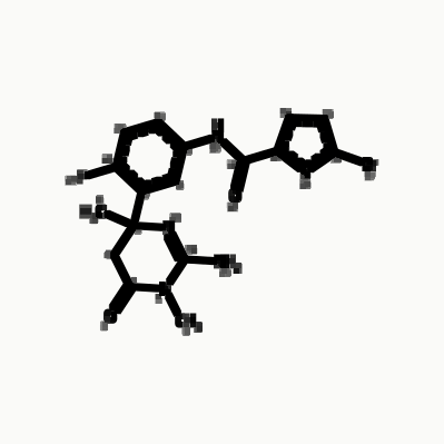 CN1C(=O)CC(C)(c2cc(NC(=O)c3ccc(Br)s3)ccc2F)N=C1N